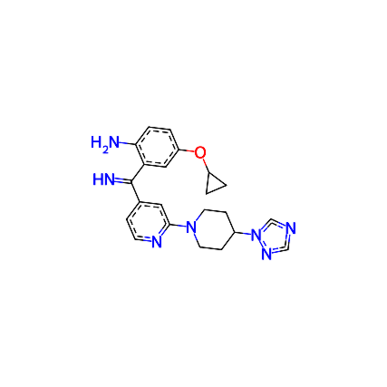 N=C(c1ccnc(N2CCC(n3cncn3)CC2)c1)c1cc(OC2CC2)ccc1N